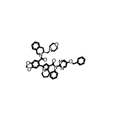 O=C(c1cc(-c2cc3c(cc2C(=O)N2Cc4ccccc4C[C@H]2CN2CCOCC2)OCO3)n2c1CCCC2)N(c1ccccc1)c1ncc(OCc2ccccc2)cn1